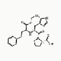 CCOC(=O)C(CCc1ccccc1)N[C@@H](Cc1c[nH]cn1)C(=O)N1CCC[C@H]1C(=O)O